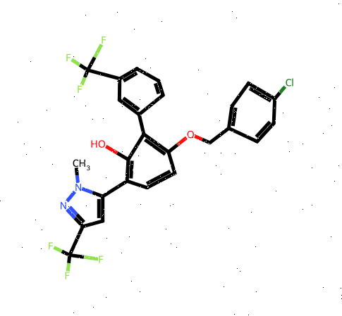 Cn1nc(C(F)(F)F)cc1-c1ccc(OCc2ccc(Cl)cc2)c(-c2cccc(C(F)(F)F)c2)c1O